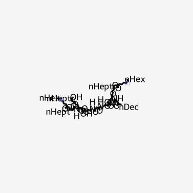 CCCCCC/C=C\CCCC(=O)O[C@H](CCCCCCC)CCOCC(COP(=O)(O)OCCNC(=O)CC(=O)NCCOP(=O)(O)OCC(COCC[C@H](O)CCCCCCC)NC(=O)C[C@@H](CCCCCCC)OC(=O)CCC/C=C/CCCCCC)NC(=O)CC(=O)CCCCCCCCCCC